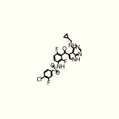 O=C(c1c(F)ccc(NS(=O)(=O)c2ccc(Cl)c(F)c2)c1F)c1c[nH]c2ncnc(NCC3CC3)c12